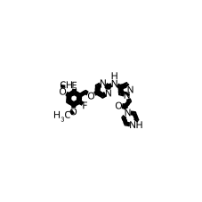 COc1cc(OC)c(F)c(COc2cnc(Nc3cnn(CC(=O)N4CCNCC4)c3)nc2)c1F